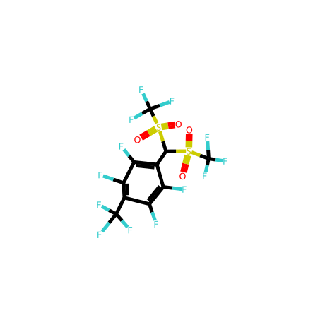 O=S(=O)(C(c1c(F)c(F)c(C(F)(F)F)c(F)c1F)S(=O)(=O)C(F)(F)F)C(F)(F)F